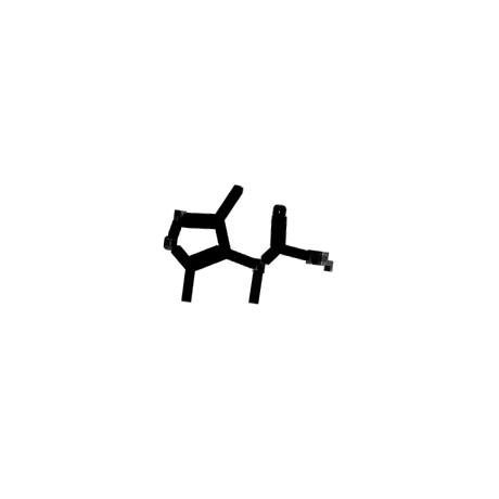 Cc1noc(C)c1N(C)C(N)=O